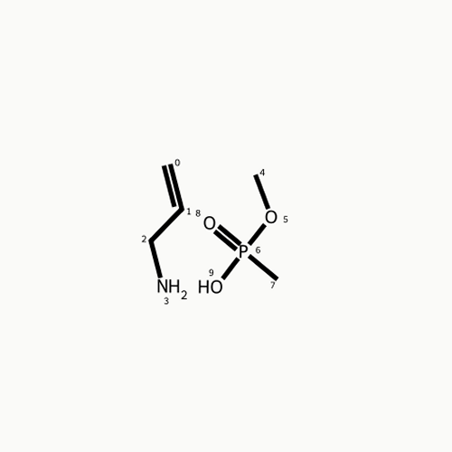 C=CCN.COP(C)(=O)O